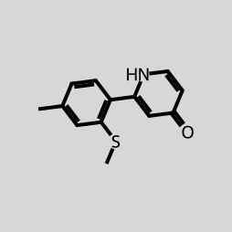 CSc1cc(C)ccc1-c1cc(=O)cc[nH]1